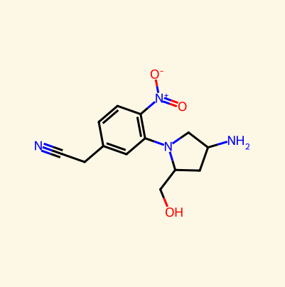 N#CCc1ccc([N+](=O)[O-])c(N2CC(N)CC2CO)c1